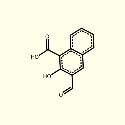 O=Cc1cc2ccccc2c(C(=O)O)c1O